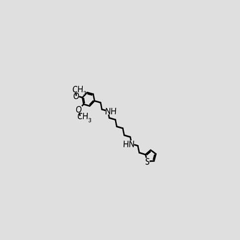 COc1ccc(CCNCCCCCCNCCc2cccs2)cc1OC